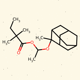 CCC(C)(C)C(=O)OC(C)OC1(C)C2CC3CC(C2)CC1C3